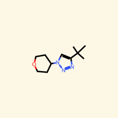 CC(C)(C)c1cn(C2CCOCC2)nn1